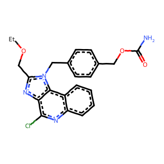 CCOCc1nc2c(Cl)nc3ccccc3c2n1Cc1ccc(COC(N)=O)cc1